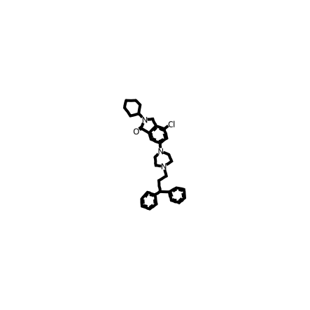 O=C1c2cc(N3CCN(CCC(c4ccccc4)c4ccccc4)CC3)cc(Cl)c2CN1C1CCCCC1